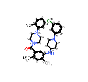 Cc1cc(C)c(C(=O)N2CCN(c3ccccc3C#N)CC2)cc1NC1CCN(c2cccc(Cl)c2)CC1